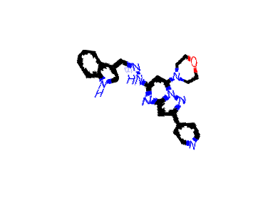 C(=N/Nc1cc(N2CCOCC2)n2nc(-c3ccncc3)cc2n1)/c1c[nH]c2ccccc12